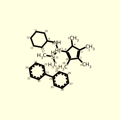 CC1=C(C)C(C)[C]([Hf]([NH]C2CCCCC2)[SiH](C)C)=C1C.c1ccc(-c2ccccc2)cc1